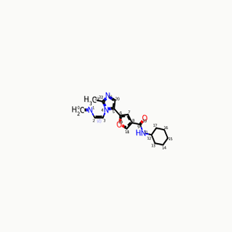 C=N/C=C\n1c(-c2cc(C(=O)NC3CCCCC3)co2)cnc1C